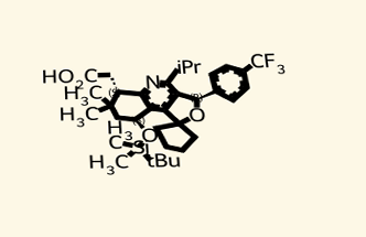 CC(C)c1nc2c(c3c1[C@@H](c1ccc(C(F)(F)F)cc1)OC31CCCC1)[C@@H](O[Si](C)(C)C(C)(C)C)CC(C)(C)[C@@H]2CC(=O)O